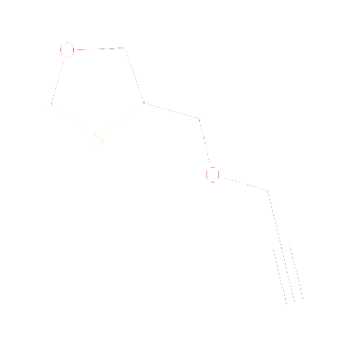 C#CCOCC1CO[CH]S1